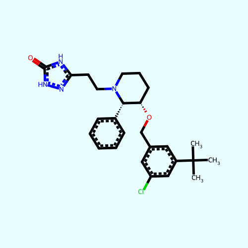 CC(C)(C)c1cc(Cl)cc(CO[C@H]2CCCN(CCc3n[nH]c(=O)[nH]3)[C@H]2c2ccccc2)c1